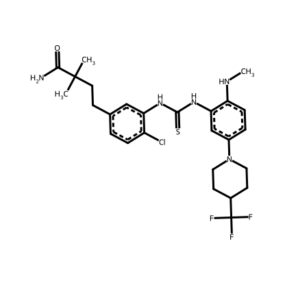 CNc1ccc(N2CCC(C(F)(F)F)CC2)cc1NC(=S)Nc1cc(CCC(C)(C)C(N)=O)ccc1Cl